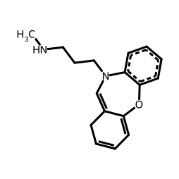 CNCCCN1C=C2CC=CC=C2Oc2ccccc21